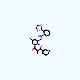 Cc1cc([C@@H](C)Nc2ccccc2C2OCCO2)c2oc(-c3cccnc3)c(C)c(=O)c2c1